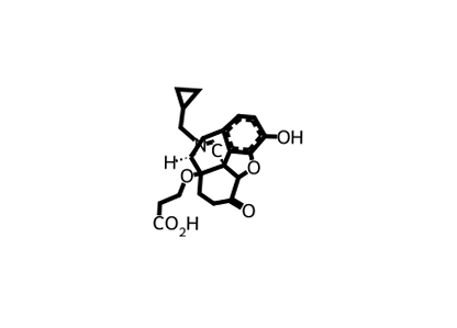 O=C(O)CCOC12CCC(=O)C3Oc4c(O)ccc5c4[C@@]31CCN(CC1CC1)[C@@H]2C5